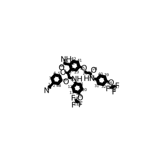 N#Cc1ccc(OC(C(=O)Nc2ccc(OC(F)(F)F)cc2)c2cc(OCC(=O)Nc3ccc(OC(F)(F)F)cc3)ccc2C(N)=O)cc1